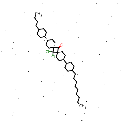 CCCCCCCCCC1CCC(C2CC[C@]3(CC2)C(=O)[C@@]2(CC[C@@H](C4CCC(CCCC)CC4)CC2)C3(Cl)Cl)CC1